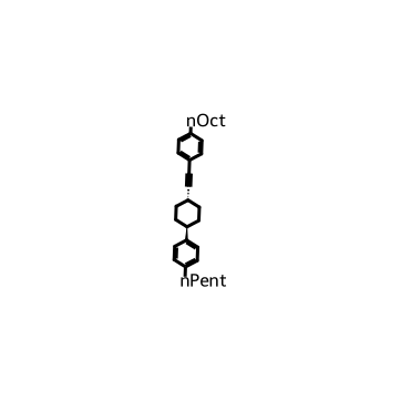 CCCCCCCCc1ccc(C#C[C@H]2CC[C@H](c3ccc(CCCCC)cc3)CC2)cc1